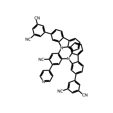 N#Cc1cc(C#N)cc(-c2ccc3c4ccccc4n(-c4cc(C#N)c(-c5ccncc5)cc4-n4c5ccccc5c5ccc(-c6cc(C#N)cc(C#N)c6)cc54)c3c2)c1